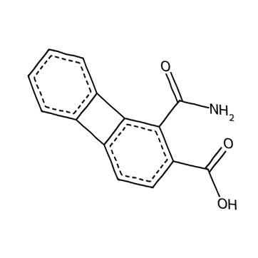 NC(=O)c1c(C(=O)O)ccc2c1-c1ccccc1-2